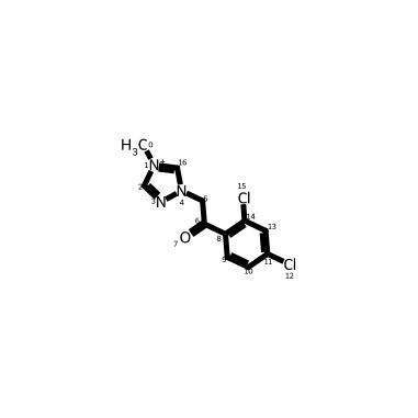 C[n+]1cnn(CC(=O)c2ccc(Cl)cc2Cl)c1